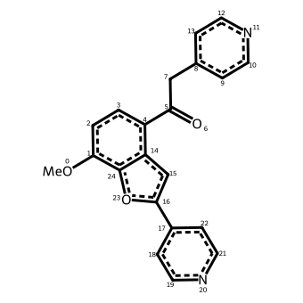 COc1ccc(C(=O)Cc2ccncc2)c2cc(-c3ccncc3)oc12